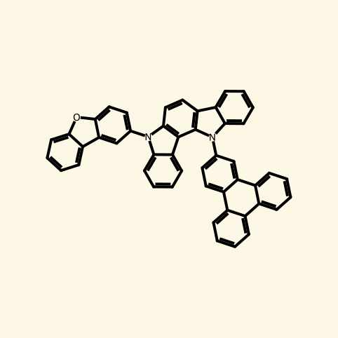 c1ccc2c(c1)oc1ccc(-n3c4ccccc4c4c3ccc3c5ccccc5n(-c5ccc6c7ccccc7c7ccccc7c6c5)c34)cc12